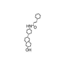 O=C(/C=C/c1ccccc1)Nc1ccc(-c2ccc3cc(O)ccc3c2)cc1